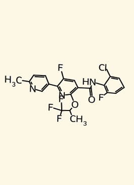 Cc1ccc(-c2nc(OC(C)C(F)(F)F)c(C(=O)Nc3c(F)cccc3Cl)cc2F)cn1